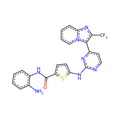 Nc1ccccc1NC(=O)c1ccc(Nc2nccc(-c3c(C(F)(F)F)nc4ccccn34)n2)s1